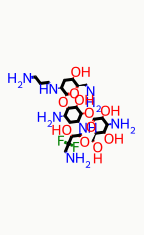 NCCCN[C@@H]1C[C@H](O)[C@@H](CN)O[C@@H]1OC1[C@@H](N)C[C@@H](NC(=O)C(O)C(F)(F)CN)[C@H](O[C@H]2O[C@H](CO)[C@@H](O)[C@H](N)[C@H]2O)[C@H]1O